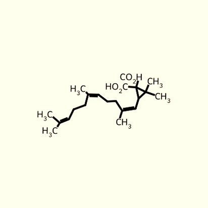 CC(C)=CCCC(C)=CCCC(C)=CC1C(C)(C)C1(C(=O)O)C(=O)O